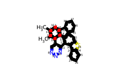 Cc1cc2c(c(-c3cnnnc3-c3c(-c4ccccc4)ccc4sc5ccccc5c34)c1C)Cc1ccccc1-2